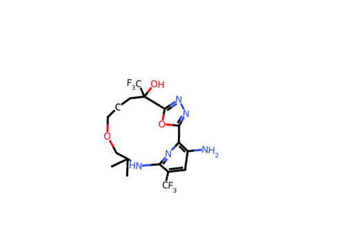 CC1(C)COCCCC(O)(C(F)(F)F)c2nnc(o2)-c2nc(c(C(F)(F)F)cc2N)N1